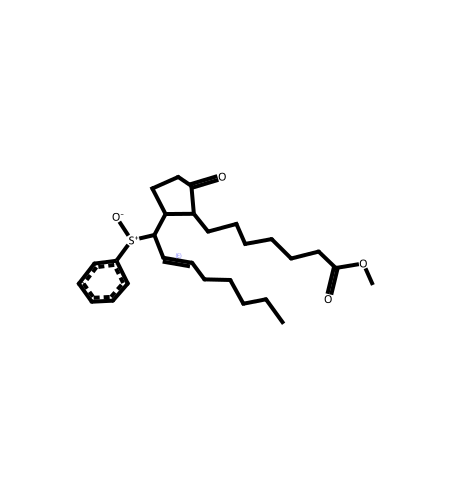 CCCCC/C=C/C(C1CCC(=O)C1CCCCCCC(=O)OC)[S+]([O-])c1ccccc1